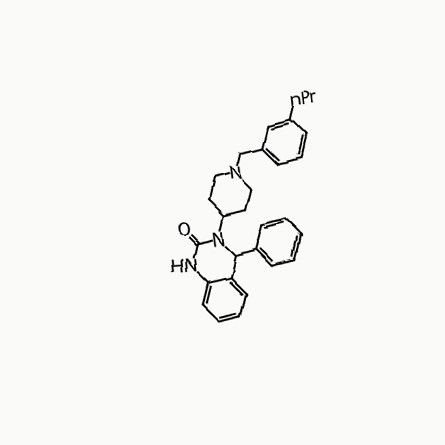 CCCc1cccc(CN2CCC(N3C(=O)Nc4ccccc4C3c3ccccc3)CC2)c1